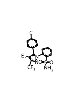 CCc1c(C(F)(F)F)nn(-c2ccccc2S(N)(=O)=O)c1-c1ccc(Cl)cc1